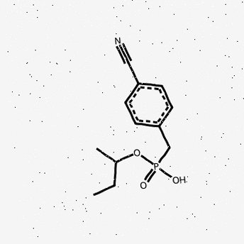 CCC(C)OP(=O)(O)Cc1ccc(C#N)cc1